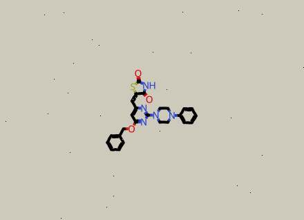 O=C1NC(=O)/C(=C\c2cc(OCc3ccccc3)nc(N3CCN(c4ccccc4)CC3)n2)S1